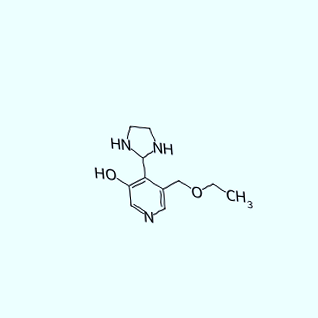 CCOCc1cncc(O)c1C1NCCN1